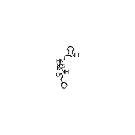 O=C(/C=C/c1ccccc1)Nc1nnc(NCCc2c[nH]c3ccccc23)s1